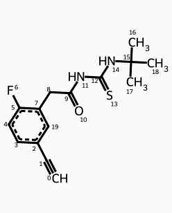 C#Cc1ccc(F)c(CC(=O)NC(=S)NC(C)(C)C)c1